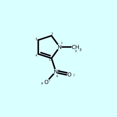 CN1C[CH]C=C1[N+](=O)[O-]